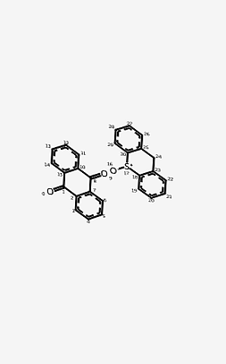 O=C1c2ccccc2C(=O)c2ccccc21.[O-][S+]1c2ccccc2Cc2ccccc21